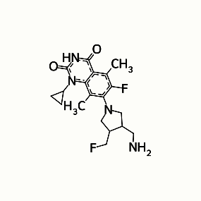 Cc1c(F)c(N2CC(CN)C(CF)C2)c(C)c2c1c(=O)[nH]c(=O)n2C1CC1